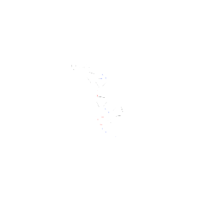 COc1cc2nccc(Oc3ccc(N(C(=O)C4(C(N)=O)CC4)c4ccc(F)cc4)cc3F)c2c2c1OCCO2